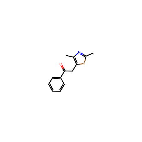 Cc1nc(C)c(CC(=O)c2ccccc2)s1